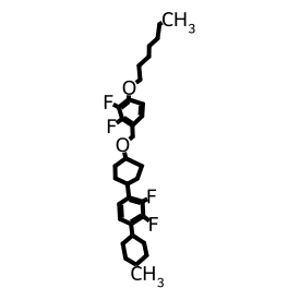 CCCCCCCOc1ccc(COC2CCC(c3ccc(C4CCC(C)CC4)c(F)c3F)CC2)c(F)c1F